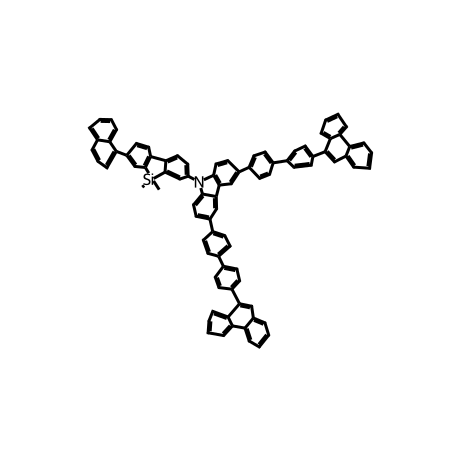 C[Si]1(C)c2cc(-c3cccc4ccccc34)ccc2-c2ccc(-n3c4ccc(-c5ccc(-c6ccc(-c7cc8ccccc8c8ccccc78)cc6)cc5)cc4c4cc(-c5ccc(-c6ccc(-c7cc8ccccc8c8ccccc78)cc6)cc5)ccc43)cc21